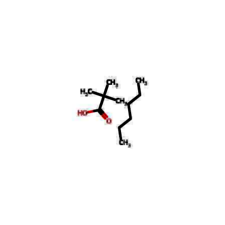 CC(C)(C)C(=O)O.CCCCCC